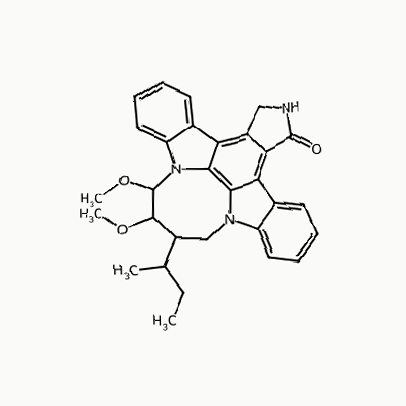 CCC(C)C1Cn2c3ccccc3c3c4c(c5c6ccccc6n(c5c32)C(OC)C1OC)CNC4=O